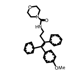 COc1ccc(C(=C(CCNC(=O)N2CCOCC2)c2ccccc2)c2ccccc2)cc1